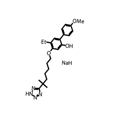 CCc1cc(-c2ccc(OC)cc2)c(O)cc1OCCCCCC(C)(C)c1nn[nH]n1.[NaH]